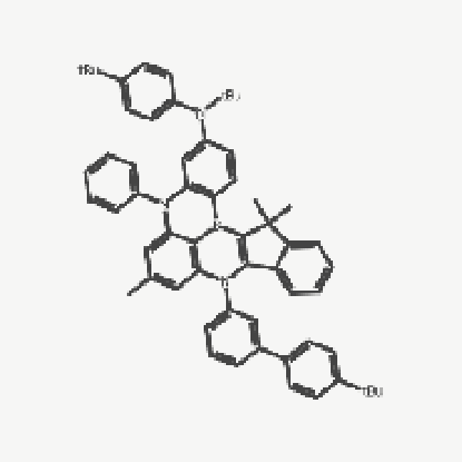 Cc1cc2c3c(c1)N(c1ccccc1)c1cc(N(c4ccc(C(C)(C)C)cc4)C(C)(C)C)ccc1B3C1=C(c3ccccc3C1(C)C)N2c1cccc(-c2ccc(C(C)(C)C)cc2)c1